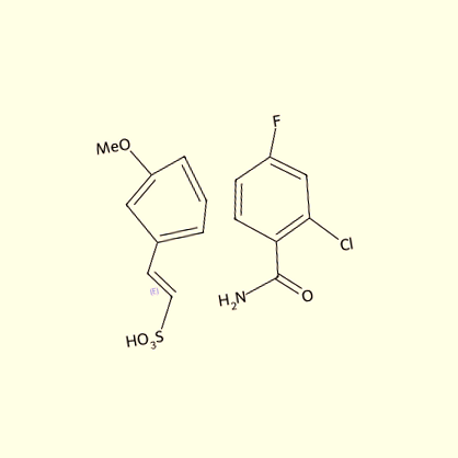 COc1cccc(/C=C/S(=O)(=O)O)c1.NC(=O)c1ccc(F)cc1Cl